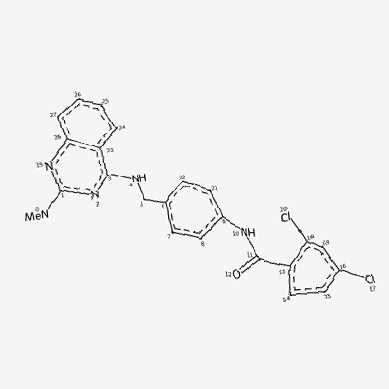 CNc1nc(NCc2ccc(NC(=O)c3ccc(Cl)cc3Cl)cc2)c2ccccc2n1